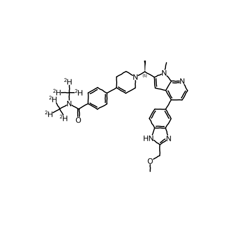 [2H]C([2H])([2H])N(C(=O)c1ccc(C2=CCN([C@@H](C)c3cc4c(-c5ccc6[nH]c(COC)nc6c5)ccnc4n3C)CC2)cc1)C([2H])([2H])[2H]